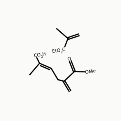 C=C(C)C(=O)OCC.C=C(CC=C(C)C(=O)O)C(=O)OC